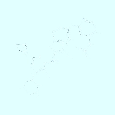 CC(=O)Nc1cc(Oc2ccc3nc(Nc4cc(C5C6CC65)cn(C5CCCOC5)c4=O)n(C)c3n2)ccn1